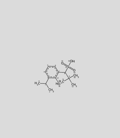 CC(C)c1cccc(C(C(C)(C)C)S(=O)(=O)O)c1O